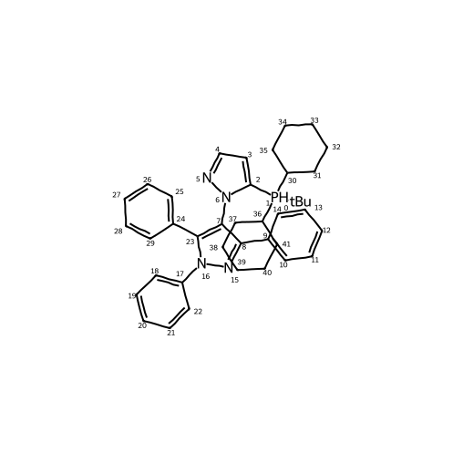 CC(C)(C)[PH](c1ccnn1-c1c(-c2ccccc2)nn(-c2ccccc2)c1-c1ccccc1)(C1CCCCC1)C1CCCCC1